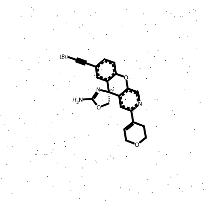 CC(C)(C)C#Cc1ccc2c(c1)[C@@]1(COC(N)=N1)c1cc(C3=CCOCC3)ncc1O2